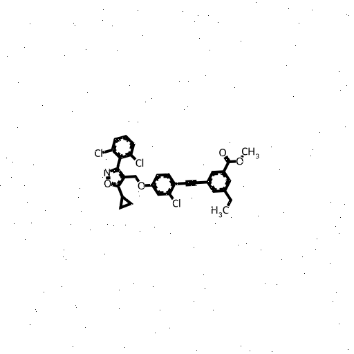 CCc1cc(C#Cc2ccc(OCc3c(-c4c(Cl)cccc4Cl)noc3C3CC3)cc2Cl)cc(C(=O)OC)c1